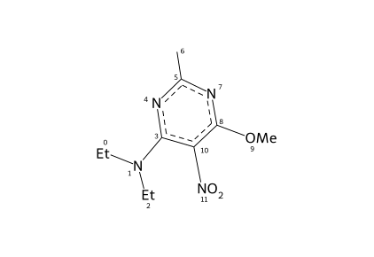 CCN(CC)c1nc(C)nc(OC)c1[N+](=O)[O-]